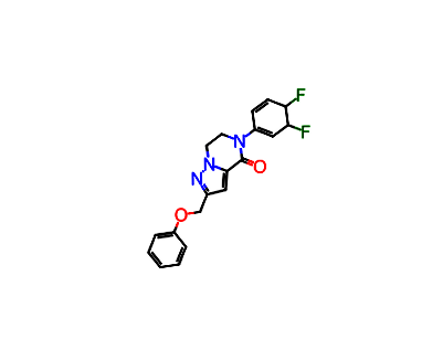 O=C1c2cc(COc3ccccc3)nn2CCN1C1=CC(F)C(F)C=C1